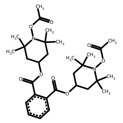 CC(=O)ON1C(C)(C)CC(OC(=O)c2ccccc2C(=O)OC2CC(C)(C)N(OC(C)=O)C(C)(C)C2)CC1(C)C